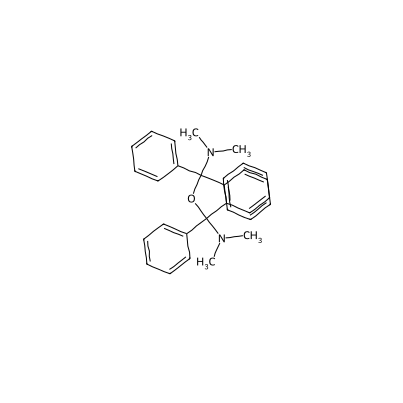 CN(C)C(OC(c1ccccc1)(c1ccccc1)N(C)C)(c1ccccc1)c1ccccc1